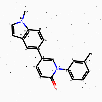 Cc1cccc(-n2cc(-c3ccc4c(ccn4C)c3)ccc2=O)c1